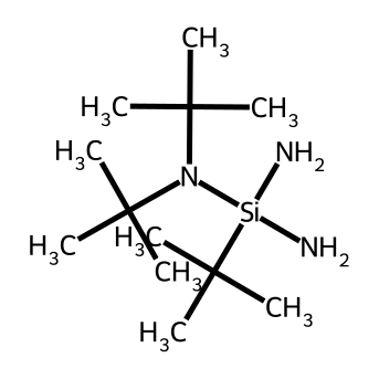 CC(C)(C)N(C(C)(C)C)[Si](N)(N)C(C)(C)C